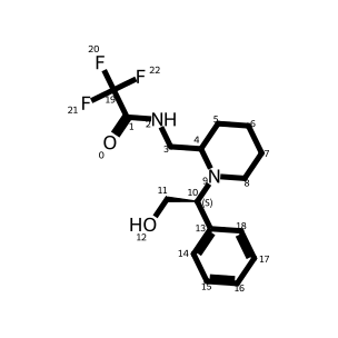 O=C(NCC1CCCCN1[C@H](CO)c1ccccc1)C(F)(F)F